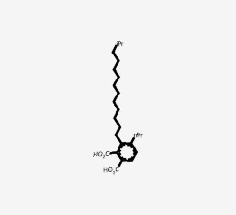 CCCc1ccc(C(=O)O)c(C(=O)O)c1CCCCCCCCCCCC(C)C